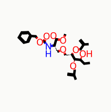 C=C(C)CO[C@H]([C@H](COC[C@H](NC(=O)OCc1ccccc1)C(=O)OC)OCC(=C)C)[C@@H](O)CC